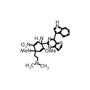 CNC1(CCN(C)C)C=C(OC)C(N)(c2nc(-c3c[nH]c4ccccc34)c3sccc3n2)C=C1[N+](=O)[O-]